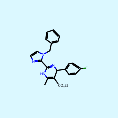 CCOC(=O)C1=C(C)NC(c2nccn2Cc2ccccc2)=NC1c1ccc(F)cc1